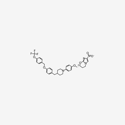 O=[N+]([O-])c1cn2c(n1)O[C@@H](COc1ccc(N3CCC(Cc4ccc(OCc5ccc(OC(F)(F)F)cc5)cc4)CC3)cc1)CC2